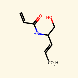 C=CC(=O)NC(C=CC(=O)O)CO